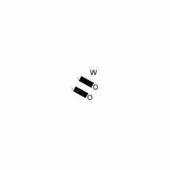 [C]=O.[C]=O.[W]